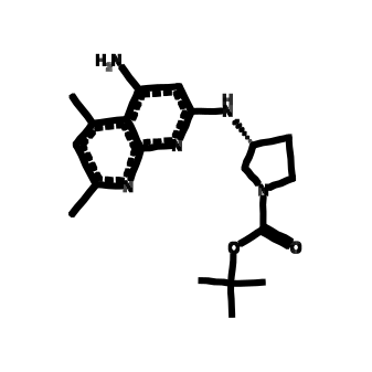 Cc1cc(C)c2c(N)cc(N[C@@H]3CCN(C(=O)OC(C)(C)C)C3)nc2n1